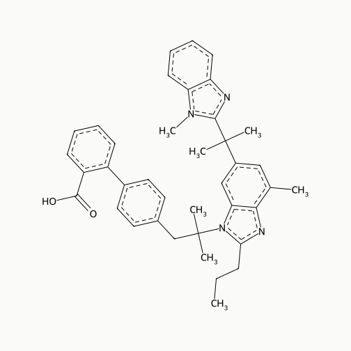 CCCc1nc2c(C)cc(C(C)(C)c3nc4ccccc4n3C)cc2n1C(C)(C)Cc1ccc(-c2ccccc2C(=O)O)cc1